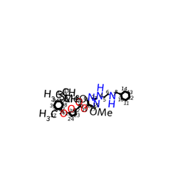 COc1nc(NCCNCc2ccccc2)nc(OC)c1OC(=O)c1ccc(Oc2cc([Si](C)(C)C)ccc2C)o1